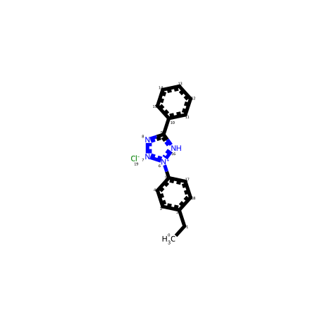 CCc1ccc(-[n+]2nnc(-c3ccccc3)[nH]2)cc1.[Cl-]